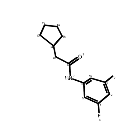 Cc1cc(F)cc(NC(=O)CC2CCCC2)c1